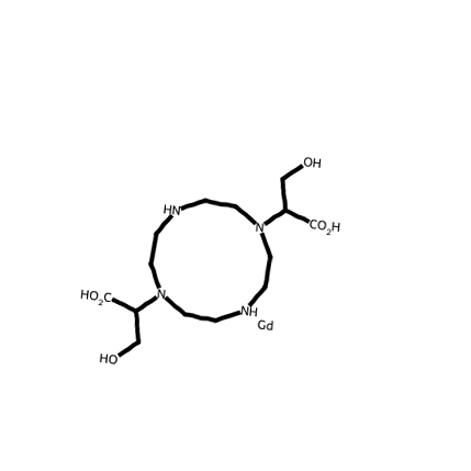 O=C(O)C(CO)N1CCNCCN(C(CO)C(=O)O)CCNCC1.[Gd]